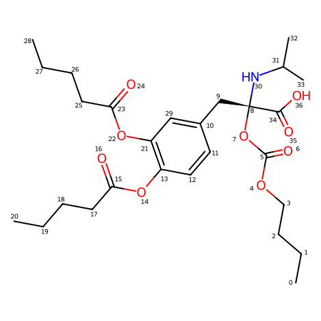 CCCCOC(=O)O[C@](Cc1ccc(OC(=O)CCCC)c(OC(=O)CCCC)c1)(NC(C)C)C(=O)O